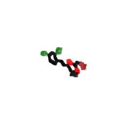 CC(=O)CC(/C=C/c1ccc(Cl)cc1Cl)OC(=O)CBr